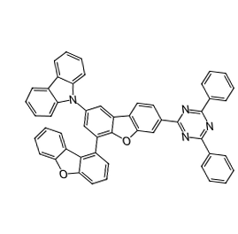 c1ccc(-c2nc(-c3ccccc3)nc(-c3ccc4c(c3)oc3c(-c5cccc6oc7ccccc7c56)cc(-n5c6ccccc6c6ccccc65)cc34)n2)cc1